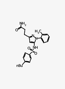 CCCCc1ccc(S(=O)(=O)Nc2cc(CCC(N)=O)nn2-c2ccccc2C)cc1